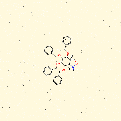 CN1OC[C@H]2[C@H](OCc3ccccc3)[C@@H](OCc3ccccc3)[C@H](OCc3ccccc3)[C@@H](OCc3ccccc3)[C@@H]21